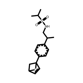 CC(CNS(=O)(=O)C(C)C)c1ccc(C23C=CC(C2)O3)cc1